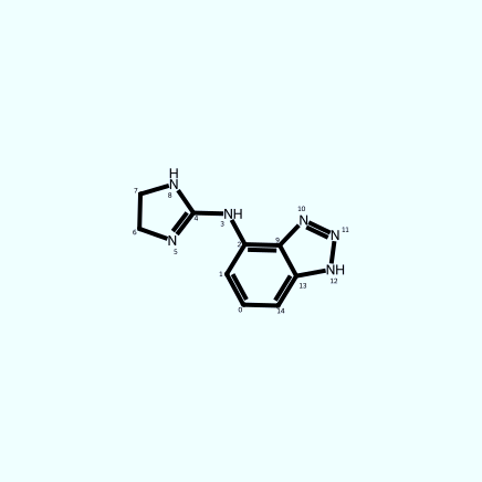 c1cc(NC2=NCCN2)c2nn[nH]c2c1